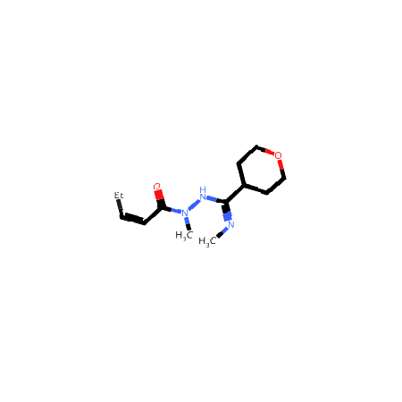 CC/C=C\C(=O)N(C)N/C(=N\C)C1CCOCC1